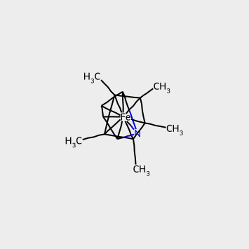 C[C]12[C]3(C)[C]4(C)[C]5(C)[C]1(C)[Fe]23451678[CH]2[CH]1[CH]6[N]7[CH]28